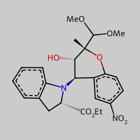 CCOC(=O)[C@@H]1Cc2ccccc2N1[C@@H]1c2cc([N+](=O)[O-])ccc2O[C@@](C)(C(OC)OC)[C@H]1O